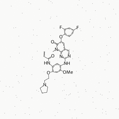 C=CC(=O)Nc1cc(Nc2ncc3cc(Oc4ccc(F)cc4F)c(=O)n(C)c3n2)c(OC)cc1OCCN1CCCC1